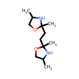 CC1COC(C)(CCC2(C)NC(C)CO2)N1